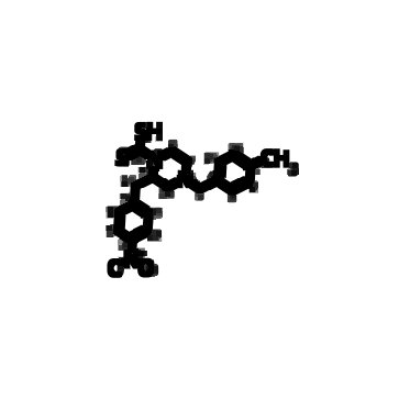 Cc1ccc(CN2CCN(C(=S)S)C(Cc3ccc([N+](=O)[O-])cc3)C2)cc1